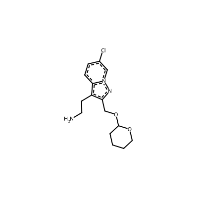 NCCc1c(COC2CCCCO2)nn2cc(Cl)ccc12